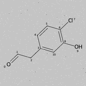 O=CCc1ccc(Cl)c(O)c1